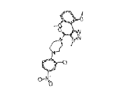 COc1cccc(OC)c1-c1nnn(C)c1C(=O)N1CCN(c2ccc([N+](=O)[O-])cc2Cl)CC1